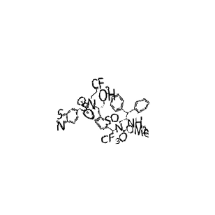 COC(=O)N(C(=O)[C@@H](N)C(c1ccccc1)c1ccccc1)[C@H](c1ccc([C@@H](CO)N(CCC(F)(F)F)S(=O)(=O)c2ccc3ncsc3c2)s1)C(F)(F)F